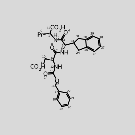 CC(C)[C@H](NC(=O)[C@@H](NC(=O)[C@H](CC(=O)O)NC(=O)OCc1ccccc1)C1Cc2ccccc2C1)C(=O)O